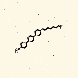 N#C[C@H]1CC[C@H]([C@H]2CC[C@H]([C@H]3CC[C@H](C=CCCCCCF)CC3)CC2)CC1